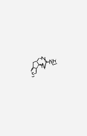 CCNc1ncc2c(n1)-c1cscc1C2